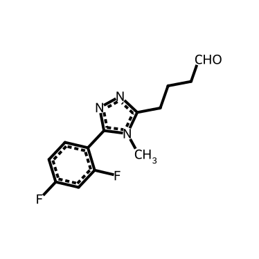 Cn1c(CCCC=O)nnc1-c1ccc(F)cc1F